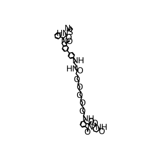 O=C(CCOCCOCCOCCOCCOCCNc1cccc2c1C(=O)N(C1CCC(=O)NC1=O)C2=O)NCCNc1ccc(-c2ccc3c(c2)C(=O)N(C(C(=O)Nc2nccs2)c2ccccc2)C3)cc1